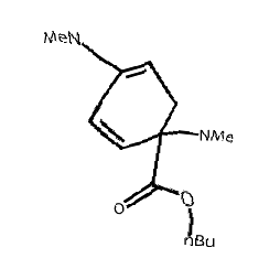 CCCCOC(=O)C1(NC)C=CC(NC)=CC1